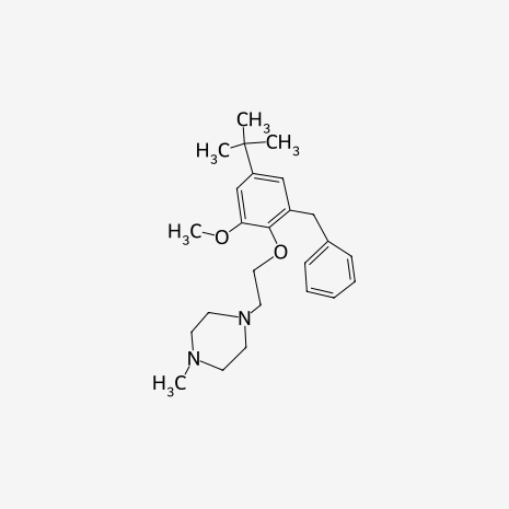 COc1cc(C(C)(C)C)cc(Cc2ccccc2)c1OCCN1CCN(C)CC1